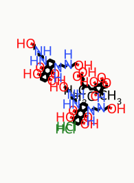 COc1c(C)c2c(c(O)c1C/C=C(\C)CCC(=O)O)C(=O)OC2.Cl.Cl.O=C1c2c(O)ccc(O)c2C(=O)c2c(NCCNCCO)ccc(NCCNCCO)c21.O=C1c2c(O)ccc(O)c2C(=O)c2c(NCCNCCO)ccc(NCCNCCO)c21